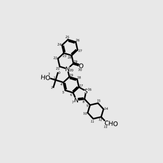 CC(C)(O)c1cc2nc(C3CCC(C=O)CC3)sc2cc1N1CCc2ccccc2C1=O